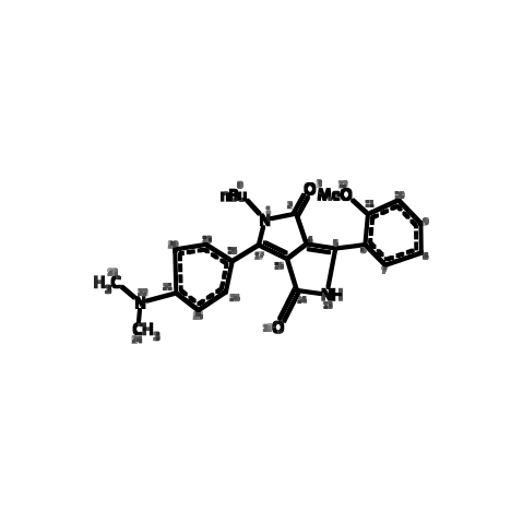 CCCCN1C(=O)C2=C(c3ccccc3OC)NC(=O)C2=C1c1ccc(N(C)C)cc1